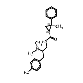 CN(C)C(CNC(=O)[C@@H]1C[C@@]1(C)c1ccccc1)Cc1ccc(O)cc1